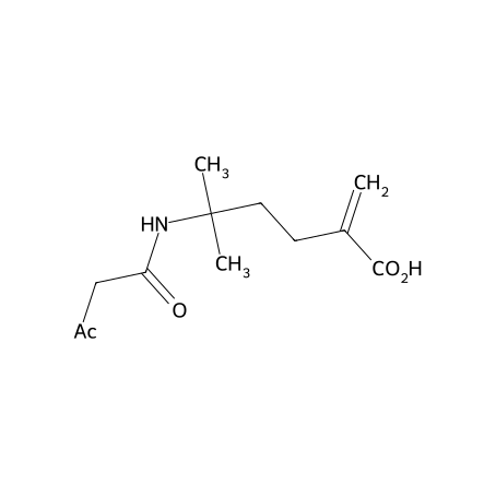 C=C(CCC(C)(C)NC(=O)CC(C)=O)C(=O)O